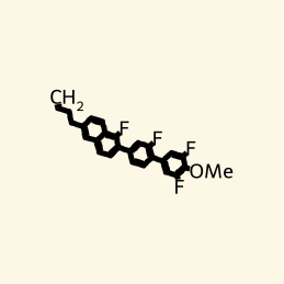 C=CCCc1ccc2c(F)c(-c3ccc(-c4cc(F)c(OC)c(F)c4)c(F)c3)ccc2c1